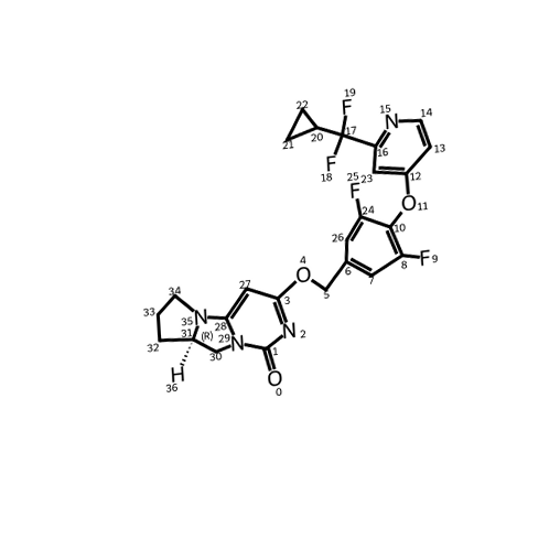 O=c1nc(OCc2cc(F)c(Oc3ccnc(C(F)(F)C4CC4)c3)c(F)c2)cc2n1C[C@H]1CCCN21